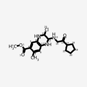 COC(=O)c1cc2c(cc1C)NC(NCC(=O)C1CCCC1)C(Cl)N2